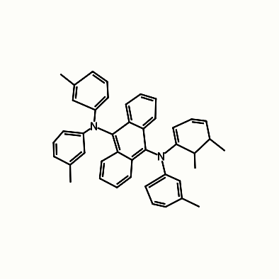 Cc1cccc(N(C2=CC=CC(C)C2C)c2c3ccccc3c(N(c3cccc(C)c3)c3cccc(C)c3)c3ccccc23)c1